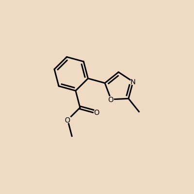 COC(=O)c1ccccc1-c1cnc(C)o1